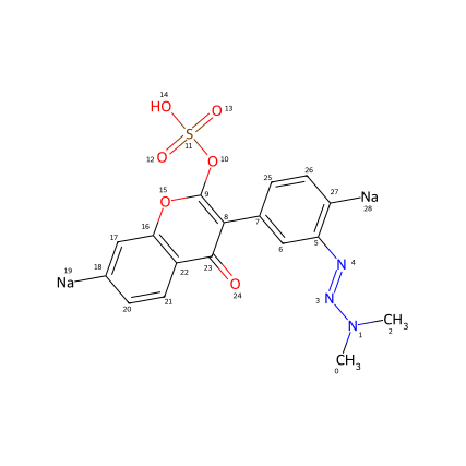 CN(C)N=Nc1cc(-c2c(OS(=O)(=O)O)oc3c[c]([Na])ccc3c2=O)cc[c]1[Na]